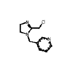 ClCC1=NCCN1Cc1cccnc1